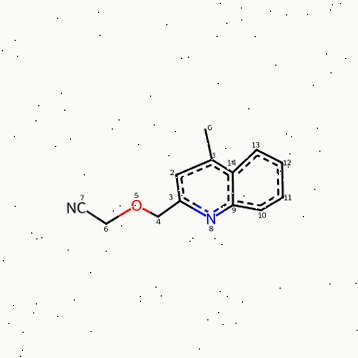 Cc1cc(COCC#N)nc2ccccc12